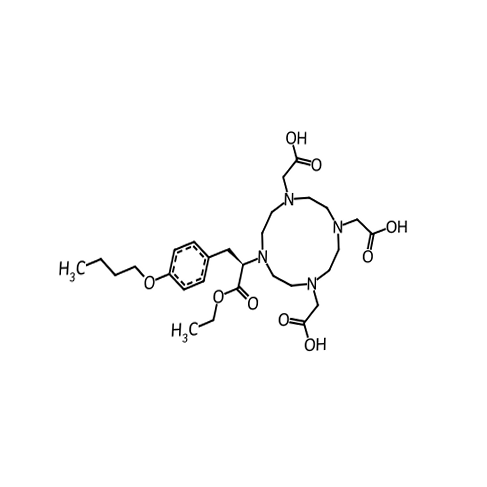 CCCCOc1ccc(C[C@H](C(=O)OCC)N2CCN(CC(=O)O)CCN(CC(=O)O)CCN(CC(=O)O)CC2)cc1